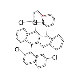 Clc1ccccc1-c1c2ccccc2c(-c2ccccc2Cl)c2c(-c3ccccc3Cl)c3ccccc3c(-c3ccccc3Cl)c12